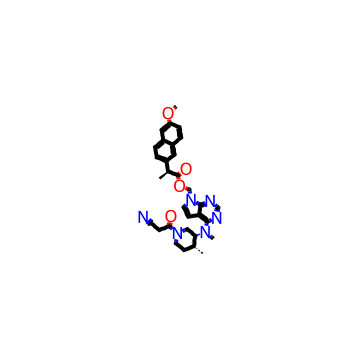 COc1ccc2cc([C@H](C)C(=O)OCn3ccc4c(N(C)[C@H]5CN(C(=O)CC#N)CC[C@H]5C)ncnc43)ccc2c1